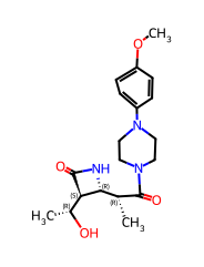 COc1ccc(N2CCN(C(=O)[C@H](C)[C@H]3NC(=O)[C@@H]3[C@@H](C)O)CC2)cc1